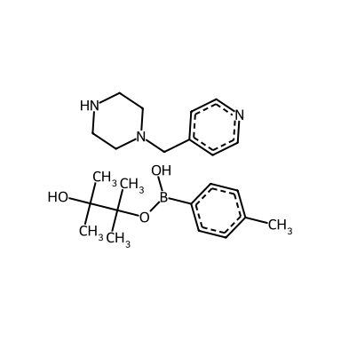 Cc1ccc(B(O)OC(C)(C)C(C)(C)O)cc1.c1cc(CN2CCNCC2)ccn1